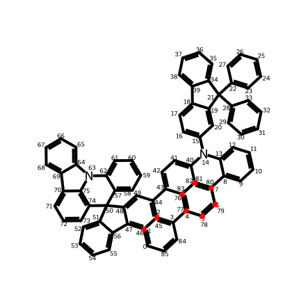 c1ccc(-c2ccc(-c3ccccc3N(c3ccc4c(c3)C(c3ccccc3)(c3ccccc3)c3ccccc3-4)c3ccc(-c4ccc5c(c4)C4(c6ccccc6-5)c5ccccc5-n5c6ccccc6c6cccc4c65)c4ccccc34)cc2)cc1